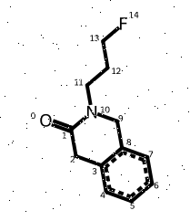 O=C1Cc2ccccc2CN1CCCF